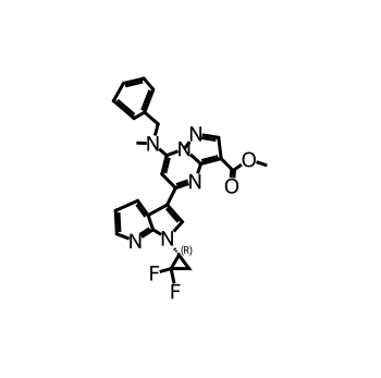 COC(=O)c1cnn2c(N(C)Cc3ccccc3)cc(-c3cn([C@@H]4CC4(F)F)c4ncccc34)nc12